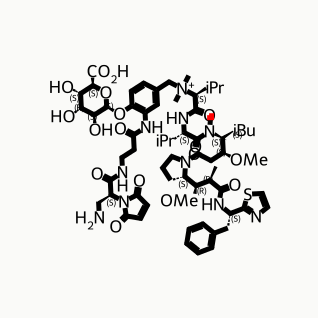 CC[C@H](C)[C@@H]([C@H](CC(=O)N1CCC[C@H]1[C@H](OC)[C@@H](C)C(=O)N[C@@H](Cc1ccccc1)c1nccs1)OC)N(C)C(=O)[C@@H](NC(=O)[C@H](C(C)C)[N+](C)(C)Cc1ccc(O[C@@H]2O[C@H](C(=O)O)[C@@H](O)[C@@H](O)[C@@H]2O)c(NC(=O)CCNC(=O)[C@H](CN)N2C(=O)C=CC2=O)c1)C(C)C